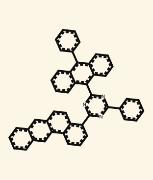 c1ccc(-c2nc(-c3c4ccccc4c(-c4ccccc4)c4ccccc34)nc(-c3cccc4c3ccc3cc5ccccc5cc34)n2)cc1